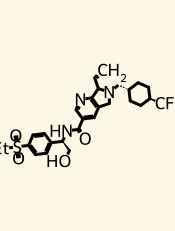 C=CC1c2ncc(C(=O)N[C@@H](CO)c3ccc(S(=O)(=O)CC)cc3)cc2CN1C[C@H]1CC[C@H](C(F)(F)F)CC1